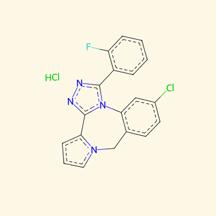 Cl.Fc1ccccc1-c1nnc2n1-c1cc(Cl)ccc1Cn1cccc1-2